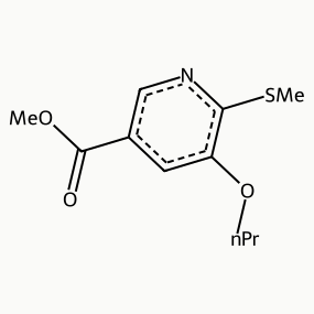 CCCOc1cc(C(=O)OC)cnc1SC